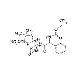 CS[C@@]1(NC(=O)C(NC(=O)OCC(Cl)(Cl)Cl)c2ccccc2)C(=O)N2[C@@H](C(=O)O)C(C)(C)S[C@@H]21